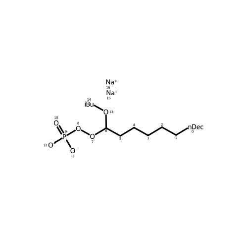 CCCCCCCCCCCCCCCC(OOP(=O)([O-])[O-])OC(C)CC.[Na+].[Na+]